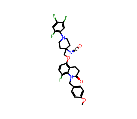 COc1ccc(CN2C(=O)CCc3c(OCC4(N=C=O)CCN(c5cc(F)c(F)cc5F)CC4)ccc(F)c32)cc1